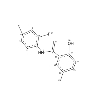 C=C(Nc1ccc(C)cc1F)c1cc(C)ccc1O